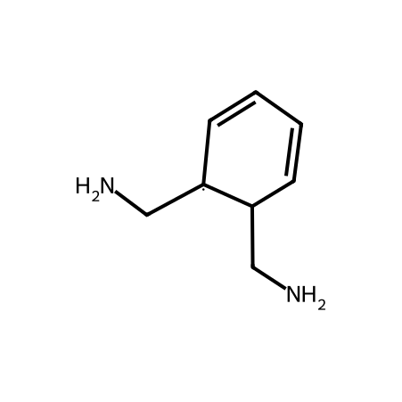 NC[C]1C=CC=CC1CN